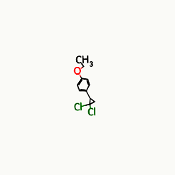 CCOc1ccc(C2CC2(Cl)Cl)cc1